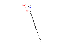 CCCCCCCCCCCCCCCCCCCCCC(=O)N1CCC[C@H]1C(=O)O